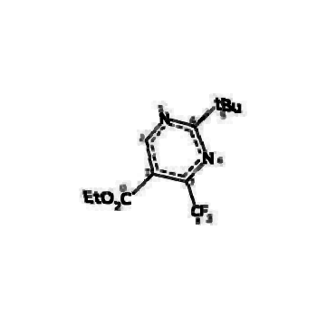 CCOC(=O)c1cnc(C(C)(C)C)nc1C(F)(F)F